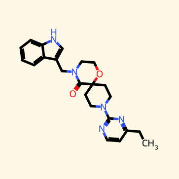 CCc1ccnc(N2CCC3(CC2)OCCN(Cc2c[nH]c4ccccc24)C3=O)n1